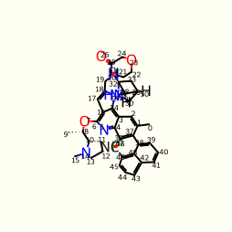 Cc1cc2c(nc(O[C@@H](C)[C@@H]3CCCN3C)c3cc(CN4CCOCC4=O)n([C@H]4[C@H]5CN[C@@H]4C5)c32)c(F)c1-c1cccc2cccc(C#N)c12